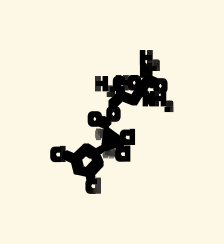 CC(COC(=O)[C@H]1[C@H](c2cc(Cl)cc(Cl)c2)C1(Cl)Cl)CC(N)(O)C(N)=O